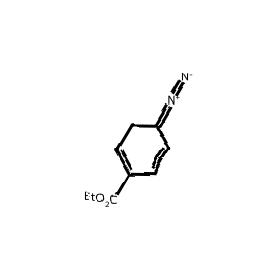 CCOC(=O)C1=CCC(=[N+]=[N-])C=C1